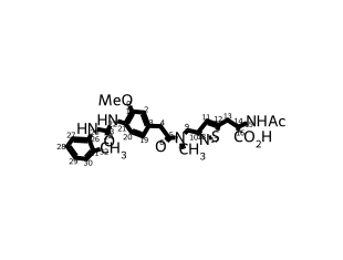 COc1cc(CC(=O)N(C)Cc2cc(CC(NC(C)=O)C(=O)O)sn2)ccc1NC(=O)Nc1ccccc1C